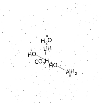 O.O=C(O)O.[LiH].[OH][AlH2]